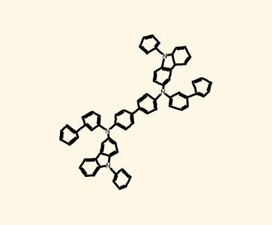 C1=CC2c3cc(N(c4ccc(-c5ccc(N(c6cccc(-c7ccccc7)c6)c6ccc7c(c6)c6ccccc6n7-c6ccccc6)cc5)cc4)c4cccc(-c5ccccc5)c4)ccc3N(c3ccccc3)C2C=C1